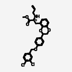 C=CCN[C@@H](Cc1cccc2c1OC(c1ccc(OCc3ccc(Cl)c(Cl)c3)cc1)CO2)C(=O)OC